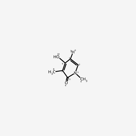 [3H]c1cn(C)c(=O)c(C)c1O